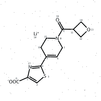 O=C([O-])c1csc(C2=CCN(C(=O)C3COC3)CC2)n1.[Li+]